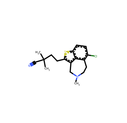 CN1CCc2c(Cl)ccc3sc(CCC(C)(C)C#N)c(c23)C1